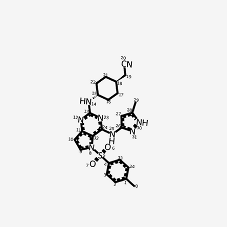 Cc1ccc(S(=O)(=O)n2ccc3nc(N[C@H]4CC[C@H](CC#N)CC4)nc(Nc4cc(C)[nH]n4)c32)cc1